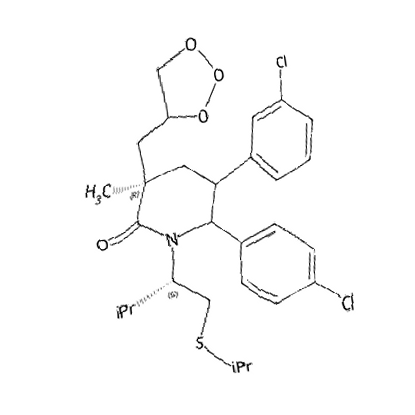 CC(C)SC[C@H](C(C)C)N1C(=O)[C@@](C)(CC2COOO2)CC(c2cccc(Cl)c2)C1c1ccc(Cl)cc1